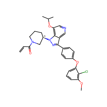 C=CC(=O)N1CCC[C@@H](n2nc(-c3ccc(Oc4cccc(OC)c4Cl)cc3)c3cncc(OC(C)C)c32)C1